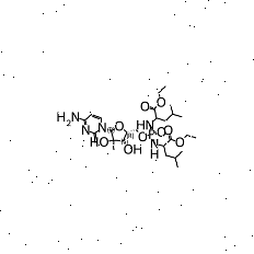 C=C1N=C(N)C=CN1[C@@H]1O[C@H](COP(=O)(NC(CC(C)C)C(=O)OCC)NC(CC(C)C)C(=O)OCC)[C@H](O)C1(C)O